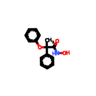 CC(Oc1ccccc1)(C(=O)NO)c1ccccc1